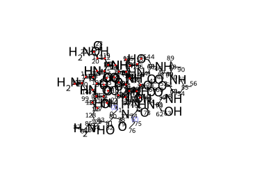 C/C=C(\NC(=O)[C@H](NC(=O)[C@H](CC(C)C)NC(=O)[C@@H](CCC(N)=O)NC(=O)[C@@H](NC(=O)[C@H](NC(=O)[C@@H](CC(C)C)NC(=O)[C@@H](CO)NC(=O)[C@H](NC(=O)[C@@H](CC(C)C)NC(=O)[C@@H](CO)NC(=O)[C@H]1CCCN1C(=O)/C(=C/C)NC(=O)CC(O)CCCCC)C(C)C)C(C)C)C(C)C)C(C)C)C(=O)N[C@@H](C(=O)N[C@H](C(=O)N[C@@H](CCO)C(=O)N[C@H](CCN)C(=O)N[C@@H](CCCCN)C(=O)O)[C@@H](C)CC)[C@@H](C)O